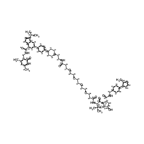 Cc1cc(C)c(CNC(=O)c2cc(-c3ccc(N4CCN(CCNC(=O)CCOCCOCCOCCOCCC(=O)NC(C(=O)N5C[C@H](O)C[C@H]5C(=O)NCc5ccc(-c6scnc6C)cc5)C(C)(C)C)CC4)nc3)cc3c2cnn3C(C)C)c(=O)[nH]1